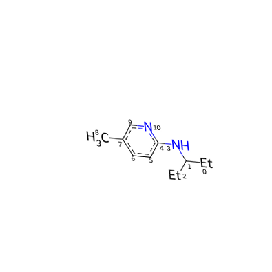 CCC(CC)Nc1ccc(C)cn1